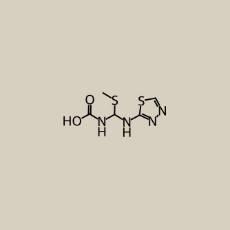 CSC(NC(=O)O)Nc1nncs1